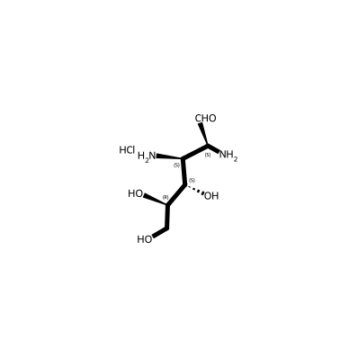 Cl.N[C@H]([C@H](O)[C@H](O)CO)[C@H](N)C=O